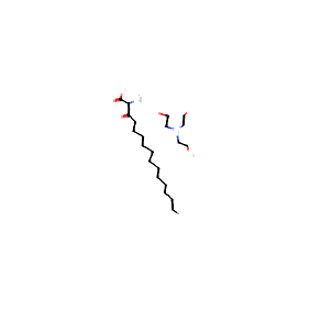 CCCCCCCCCCCCCC(=O)C(NC)C(=O)O.OCCN(CCO)CCO